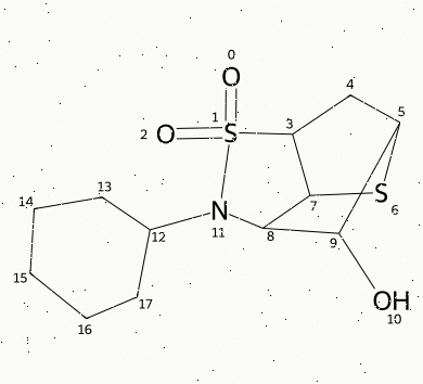 O=S1(=O)C2CC3SC2C(C3O)N1C1CCCCC1